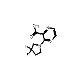 O=C(O)c1nccnc1N1CCC(F)(F)C1